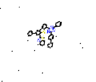 c1ccc(-c2ccc(-c3nc(-c4ccccc4)nc(-c4cccc5c4sc4c(-c6nc7ccccc7s6)cc(-c6ccccc6)cc45)n3)cc2)cc1